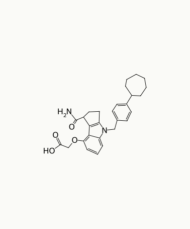 NC(=O)C1CCc2c1c1c(OCC(=O)O)cccc1n2Cc1ccc(C2CCCCCC2)cc1